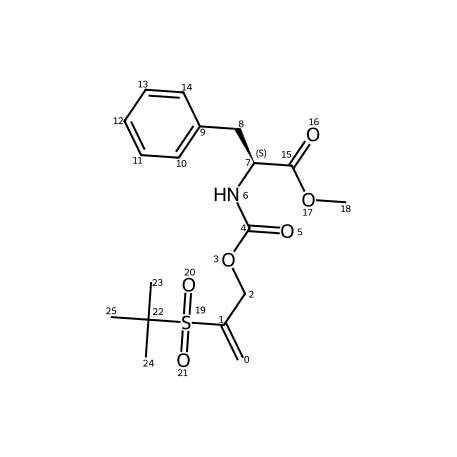 C=C(COC(=O)N[C@@H](Cc1ccccc1)C(=O)OC)S(=O)(=O)C(C)(C)C